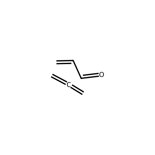 C=C=C.C=CC=O